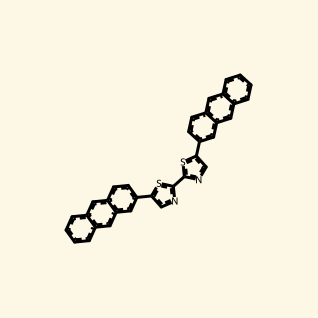 c1ccc2cc3cc(-c4cnc(-c5ncc(-c6ccc7cc8ccccc8cc7c6)s5)s4)ccc3cc2c1